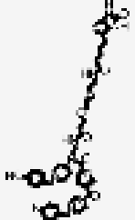 N#Cc1ccc(CN2CCC(N(CCNC(=O)CCOCCOCCNC(=O)CCCCC3SCC4NC(=O)NC43)C(=O)c3ccc(C(=O)N4CCN(Cc5ccc(F)cc5)CC4)cn3)CC2)cc1